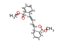 COC(=O)c1ccccc1C#CC#Cc1ccccc1C(=O)OC